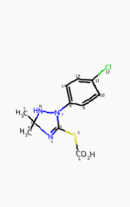 CC1(C)N=C(SC(=O)O)N(c2ccc(Cl)cc2)N1